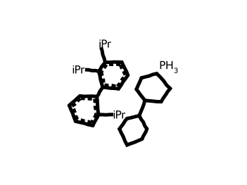 C1CCC(C2CCCCC2)CC1.CC(C)c1ccccc1-c1cccc(C(C)C)c1C(C)C.P